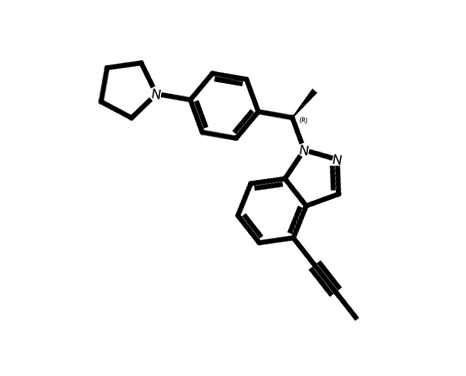 CC#Cc1cccc2c1cnn2[C@H](C)c1ccc(N2CCCC2)cc1